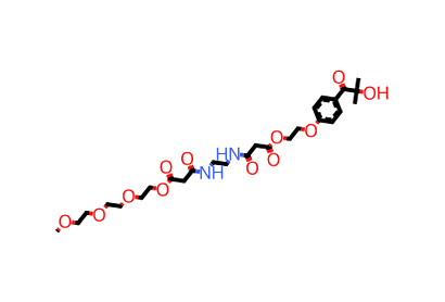 COCCOCCOCCOC(=O)CC(=O)NCCNC(=O)CC(=O)OCCOc1ccc(C(=O)C(C)(C)O)cc1